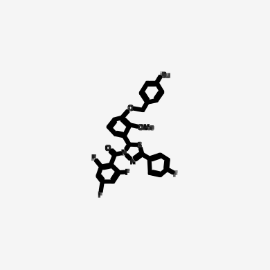 CCC(C)c1ccc(COc2cccc(C3SC(c4ccc(F)cc4)=NN3C(=O)c3c(F)cc(F)cc3F)c2OC)cc1